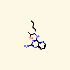 CCCC[C@@H](Nc1nc(N)nc2cccnc12)[C@H](C)O